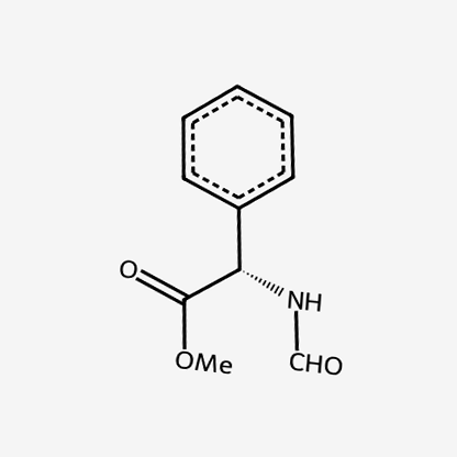 COC(=O)[C@@H](NC=O)c1ccccc1